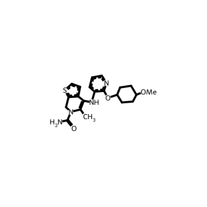 COC1CCC(Oc2ncccc2NC2=C(C)N(C(N)=O)Cc3sccc32)CC1